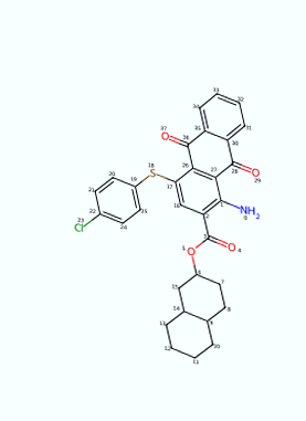 Nc1c(C(=O)OC2CCC3CCCCC3C2)cc(Sc2ccc(Cl)cc2)c2c1C(=O)c1ccccc1C2=O